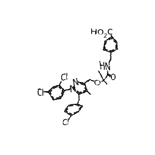 Cc1c(COC(C)(C)C(=O)NCc2ccc(C(=O)O)cc2)nn(-c2ccc(Cl)cc2Cl)c1-c1ccc(Cl)cc1